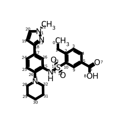 CCc1ccc(C(=O)O)cc1S(=O)(=O)Nc1cc(-c2ccn(C)n2)ccc1N1CCCCC1